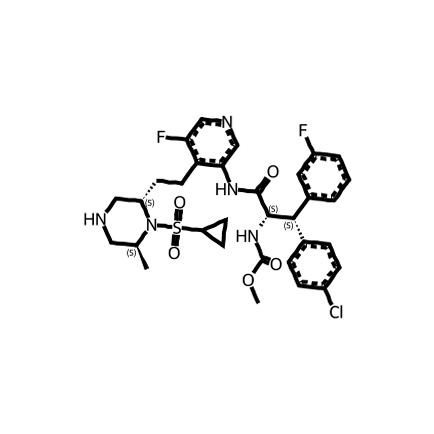 COC(=O)N[C@H](C(=O)Nc1cncc(F)c1CC[C@H]1CNC[C@H](C)N1S(=O)(=O)C1CC1)[C@@H](c1ccc(Cl)cc1)c1cccc(F)c1